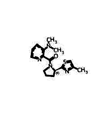 Cc1csc([C@H]2CCCN2C(=O)c2ncccc2N(C)C)n1